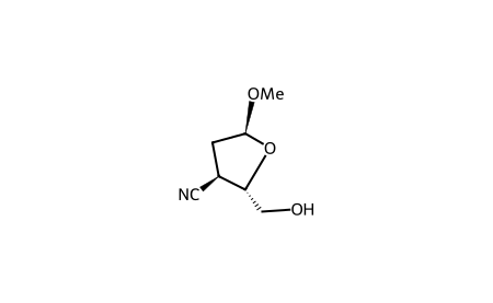 CO[C@@H]1C[C@H](C#N)[C@@H](CO)O1